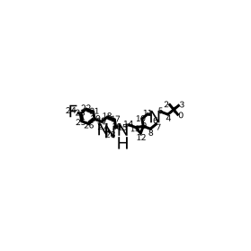 CC(C)(C)CCN1CCC2(CC1)CC2CNc1ccc(-c2ccc(F)cc2)nn1